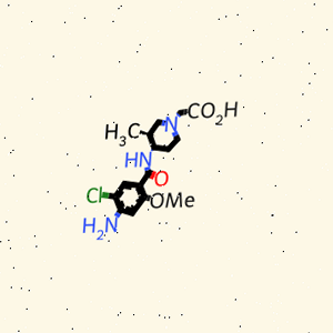 COc1cc(N)c(Cl)cc1C(=O)N[C@H]1CCN(CC(=O)O)C[C@@H]1C